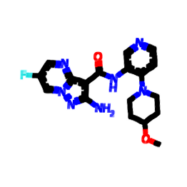 COC1CCN(c2ccncc2NC(=O)c2c(N)nn3cc(F)cnc23)CC1